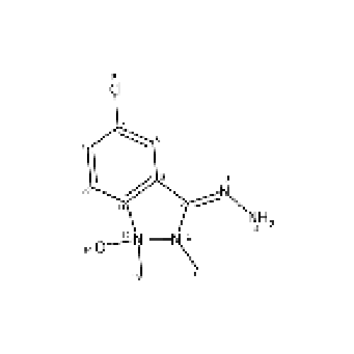 CN1C(=NN)c2cc(Cl)ccc2[N+]1(C)[O-]